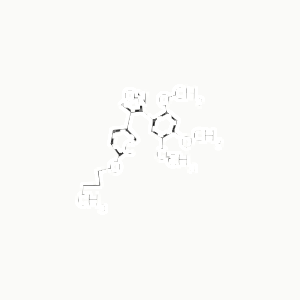 CCCCOc1ccc(-c2conc2-c2cc(OC)c(OC)cc2OC)cc1